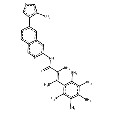 B/C(C(=O)Nc1cc2cc(-c3cncn3C)ccc2cn1)=C(/B)c1c(B)c(B)c(B)c(B)c1B